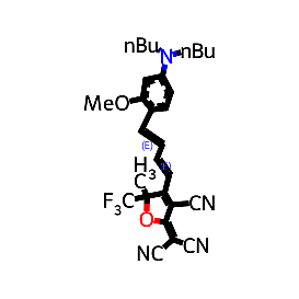 CCCCN(CCCC)c1ccc(/C=C/C=C/C2=C(C#N)C(=C(C#N)C#N)OC2(C)C(F)(F)F)c(OC)c1